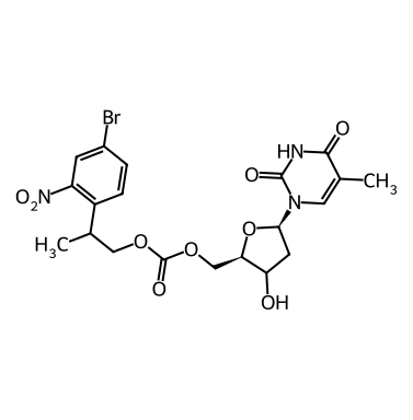 Cc1cn([C@H]2CC(O)[C@@H](COC(=O)OCC(C)c3ccc(Br)cc3[N+](=O)[O-])O2)c(=O)[nH]c1=O